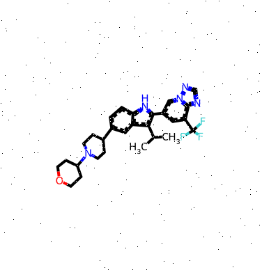 CC(C)c1c(-c2cc(C(F)(F)F)c3ncnn3c2)[nH]c2ccc(C3CCN(C4CCOCC4)CC3)cc12